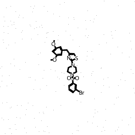 COc1cc(Cc2csc(N3CCN(S(=O)(=O)c4cccc(Br)c4)CC3)n2)cc(OC)c1